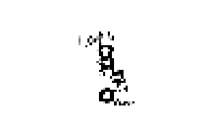 COc1ccccc1Nc1nc(-c2cc3ccc(N(C)C)cc3oc2=O)cs1